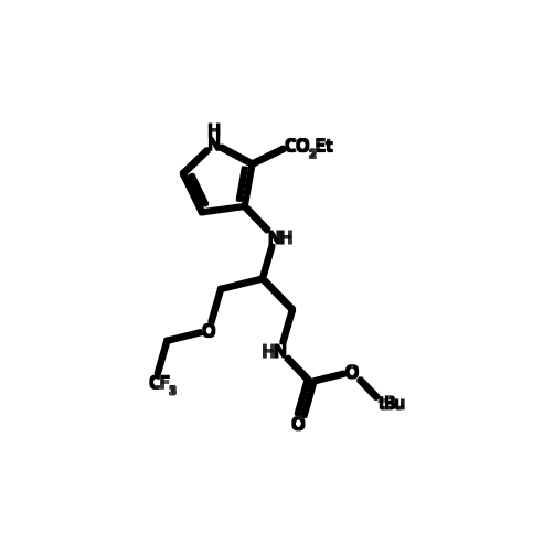 CCOC(=O)c1[nH]ccc1NC(CNC(=O)OC(C)(C)C)COCC(F)(F)F